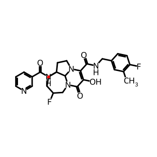 Cc1cc(CNC(=O)C2=C(O)C(=O)N3CC(F)CCC4(NC(=O)c5cccnc5)CCN2C34)ccc1F